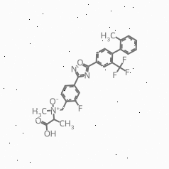 Cc1ccccc1-c1ccc(-c2nc(-c3ccc(C[N+](C)([O-])C(C)C(=O)O)c(F)c3)no2)cc1C(F)(F)F